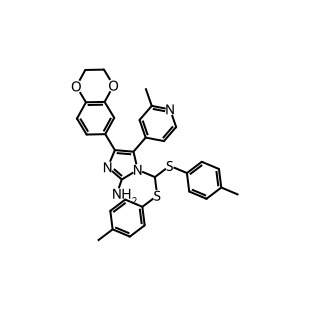 Cc1ccc(SC(Sc2ccc(C)cc2)n2c(N)nc(-c3ccc4c(c3)OCCO4)c2-c2ccnc(C)c2)cc1